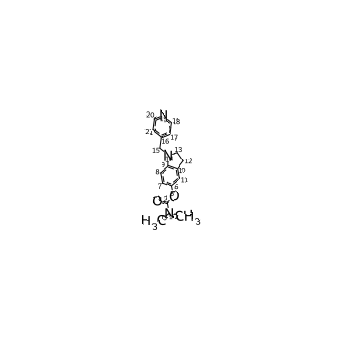 CN(C)C(=O)Oc1ccc2c(c1)CCN2Cc1ccncc1